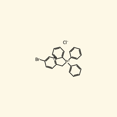 Brc1ccc(C[P+](c2ccccc2)(c2ccccc2)c2ccccc2)nc1.[Cl-]